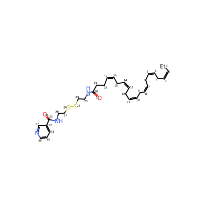 CC/C=C\C/C=C\C/C=C\C/C=C\C/C=C\C/C=C\CCC(=O)NCCSSCCNC(=O)c1cccnc1